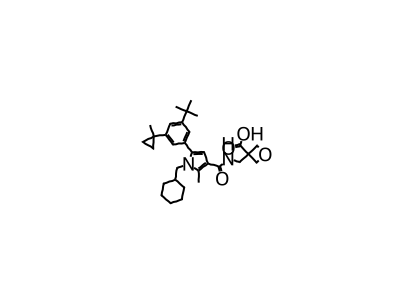 Cc1c(C(=O)NCC2(C(=O)O)COC2)cc(-c2cc(C(C)(C)C)cc(C3(C)CC3)c2)n1CC1CCCCC1